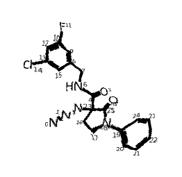 [N-]=[N+]=NC1(C(=O)NCc2cc(F)cc(Cl)c2)CCN(c2ccccc2)C1=O